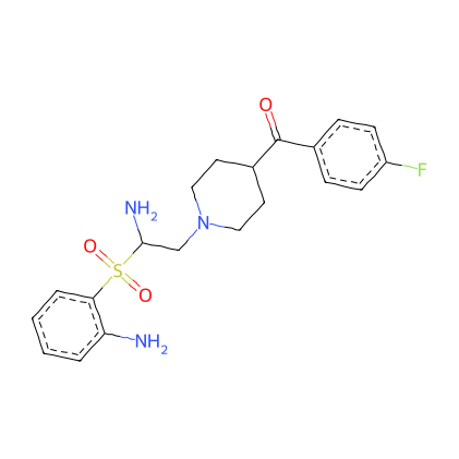 Nc1ccccc1S(=O)(=O)C(N)CN1CCC(C(=O)c2ccc(F)cc2)CC1